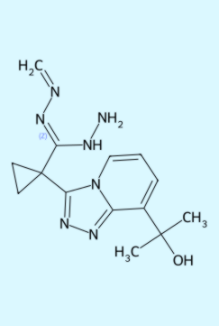 C=N/N=C(\NN)C1(c2nnc3c(C(C)(C)O)cccn23)CC1